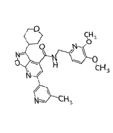 COc1ccc(CNC(=O)c2cc(-c3cncc(C)c3)nc3onc(C4CCOCC4)c23)nc1OC